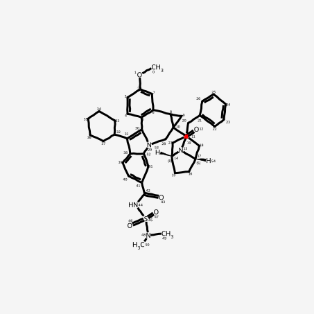 COc1ccc2c(c1)C1CC1(C(=O)N1[C@@H]3CC[C@H]1CN(Cc1ccccc1)C3)Cn1c-2c(C2CCCCC2)c2ccc(C(=O)NS(=O)(=O)N(C)C)cc21